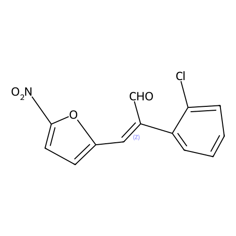 O=C/C(=C\c1ccc([N+](=O)[O-])o1)c1ccccc1Cl